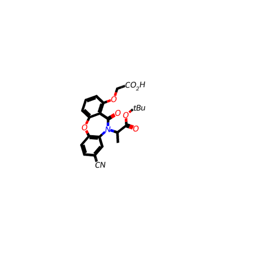 CC(C(=O)OC(C)(C)C)N1C(=O)c2c(OCC(=O)O)cccc2Oc2ccc(C#N)cc21